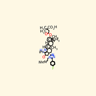 CNCCn1c(-c2ccc(F)cc2)nnc1[C@@]12CC[C@]3(C)[C@](N)(CC[C@@H]4[C@@]5(C)CC[C@H](OC(=O)CC(C)(C)C(=O)O)C(C)(C)[C@@H]5CC[C@]43C)C1=C(C(C)C)C(=O)C2